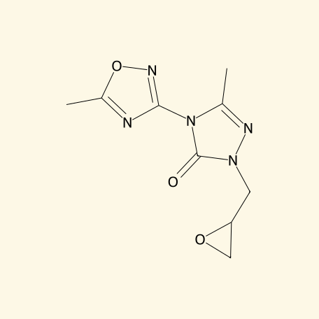 Cc1nc(-n2c(C)nn(CC3CO3)c2=O)no1